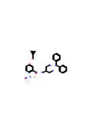 CCCCN(C(N)=O)c1ccc(OCC2CC2)cc1C(=O)NCC1CCN(C(c2ccccc2)c2ccccc2)CC1